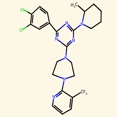 CC1CCCCN1c1nc(-c2ccc(Cl)c(Cl)c2)nc(N2CCN(c3ncccc3C(F)(F)F)CC2)n1